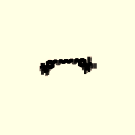 FC(F)(F)C1(c2ccc(COCCCCCOCc3ccc(C4(C(F)(F)F)NN4)cc3)cc2)N=N1